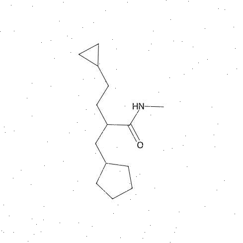 CNC(=O)C(CCC1CC1)CC1CCCC1